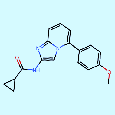 COc1ccc(-c2cccc3nc(NC(=O)C4CC4)cn23)cc1